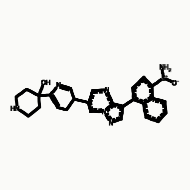 N[S+]([O-])c1ccc(-c2cnn3cc(C4C=NC(C5(O)CCNCC5)=CC4)cnc23)c2ccccc12